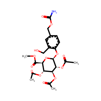 COC(=O)[C@H]1O[C@@H](Oc2ccc(COC(N)=O)cc2CO)[C@H](OC(C)=O)[C@@H](OC(C)=O)[C@@H]1OC(C)=O